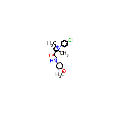 COC1CCC(NCC(=O)c2cc(C)n(-c3ccc(Cl)cc3)c2C)CC1